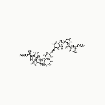 C#CC[C@H](NC(=O)OC)C(=O)N1CCC[C@H]1c1nc2ccc(C#Cc3ccc4c(c3)CCCc3nc([C@@H]5CCCN5C(=O)[C@@H](NC(=O)OC)C(C)C)[nH]c3-4)cc2[nH]1